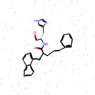 O=[C][C@H](Cc1c[nH]cn1)NC(=O)C(CC=Cc1ccccc1)Cc1cccc2ccccc12